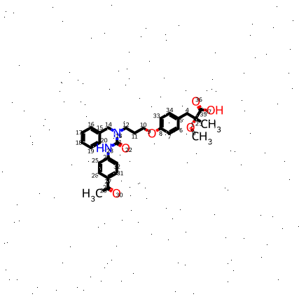 COC(C)(Cc1ccc(OCCCN(Cc2ccccc2)C(=O)Nc2ccc(C(C)=O)cc2)cc1)C(=O)O